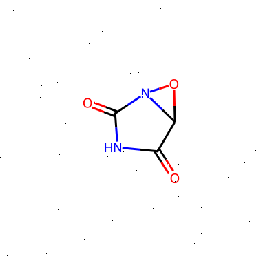 O=C1NC(=O)N2OC12